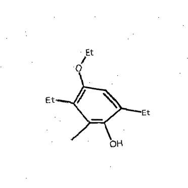 CCOc1cc(CC)c(O)c(C)c1CC